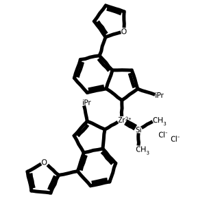 CC(C)C1=Cc2c(-c3ccco3)cccc2[CH]1[Zr+2]([CH]1C(C(C)C)=Cc2c(-c3ccco3)cccc21)=[Si](C)C.[Cl-].[Cl-]